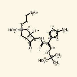 CNCCSC1(C(=O)O)CN2C(=O)C(NC(=O)/C(=N\OC(C)(C)C(=O)O)c3csc(N)n3)[C@H]2S1